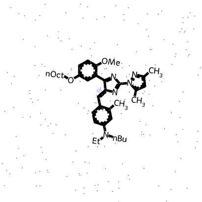 CCCCCCCCOc1ccc(OC)c(C2=NC(n3nc(C)cc3C)=N/C2=C\c2ccc(N(CC)CCCC)cc2C)c1